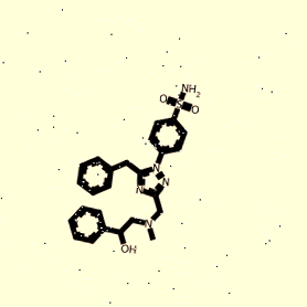 CN(Cc1nc(Cc2ccccc2)n(-c2ccc(S(N)(=O)=O)cc2)n1)CC(O)c1ccccc1